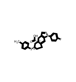 Cc1ccc(S[C@@H]2CCC3=Cc4c(cnn4-c4ccc(F)cc4)C[C@]3(C(=O)O)C2)cc1